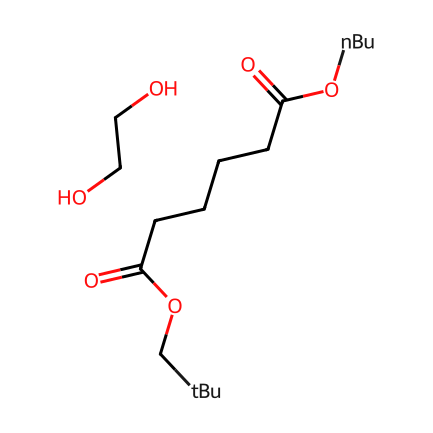 CCCCOC(=O)CCCCC(=O)OCC(C)(C)C.OCCO